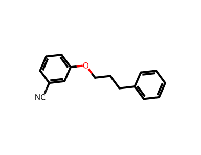 N#Cc1cccc(OCCCc2ccccc2)c1